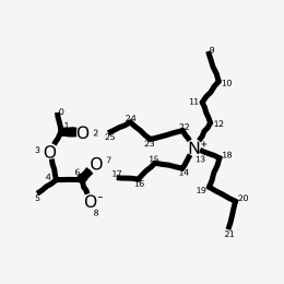 CC(=O)OC(C)C(=O)[O-].CCCC[N+](CCCC)(CCCC)CCCC